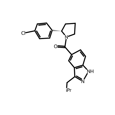 CC(C)Cc1n[nH]c2ccc(C(=O)N3CCC[C@H]3c3ccc(Cl)cc3)cc12